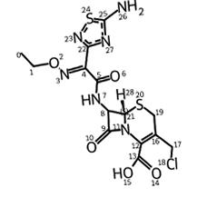 CCON=C(C(=O)NC1C(=O)N2C(C(=O)O)=C(CCl)CS[C@@H]12)c1nsc(N)n1